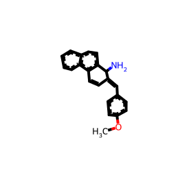 COc1ccc(C=C2C=Cc3c(ccc4ccccc34)C2N)cc1